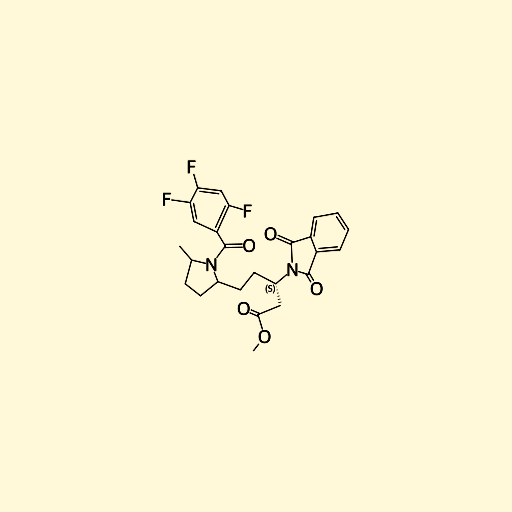 COC(=O)C[C@H](CCC1CCC(C)N1C(=O)c1cc(F)c(F)cc1F)N1C(=O)c2ccccc2C1=O